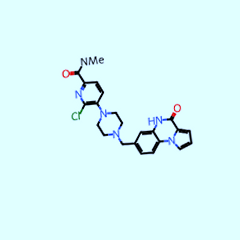 CNC(=O)c1ccc(N2CCN(Cc3ccc4c(c3)[nH]c(=O)c3cccn34)CC2)c(Cl)n1